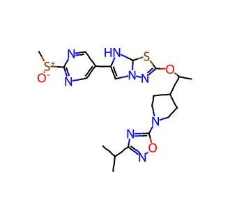 CC(C)c1noc(N2CCC(C(C)OC3=NN4C=C(c5cnc([S+](C)[O-])nc5)NC4S3)CC2)n1